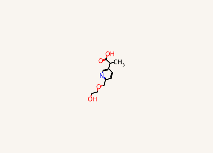 CC(C(=O)O)c1ccc(COCCO)nc1